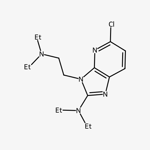 CCN(CC)CCn1c(N(CC)CC)nc2ccc(Cl)nc21